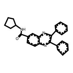 O=C(NC1CCCC1)c1ccc2nc(-c3ccccc3)c(-c3ccccc3)nc2c1